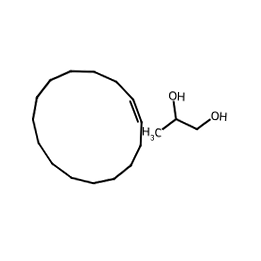 C1=CCCCCCCCCCCCCC1.CC(O)CO